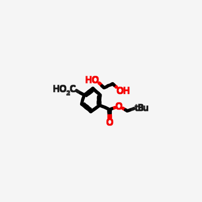 CC(C)(C)COC(=O)c1ccc(C(=O)O)cc1.OCCO